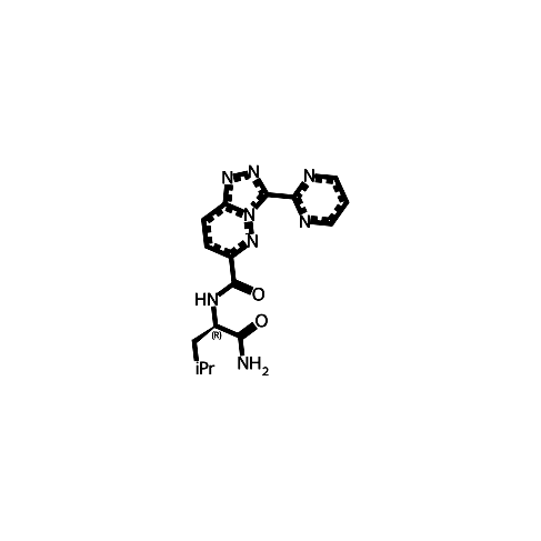 CC(C)C[C@@H](NC(=O)c1ccc2nnc(-c3ncccn3)n2n1)C(N)=O